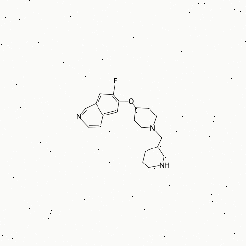 Fc1cc2cnccc2cc1OC1CCN(CC2CCCNC2)CC1